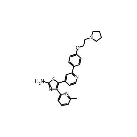 Cc1cccc(-c2nc(N)sc2-c2ccnc(-c3ccc(OCCN4CCCC4)cc3)c2)n1